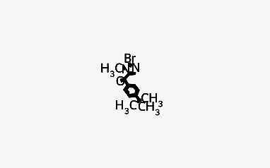 Cn1c(C(=O)c2ccc(C(C)(C)C)cc2)cnc1Br